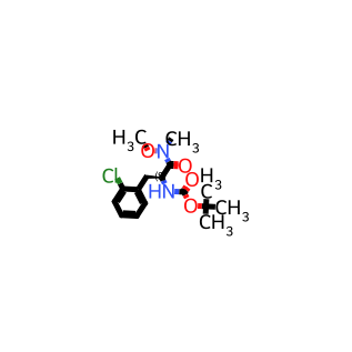 CON(C)C(=O)[C@H](Cc1ccccc1Cl)NC(=O)OC(C)(C)C